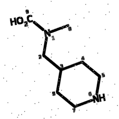 CN(CC1CCNCC1)C(=O)O